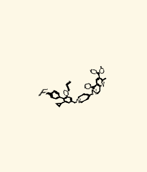 CCCOc1cc(CN2CCC(N3CCc4nc(C)c(C(=O)OC)cc4C3=O)CC2)cc(C2CC2)c1-c1ccc(F)cc1